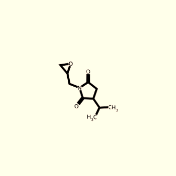 CC(C)C1CC(=O)N(CC2CO2)C1=O